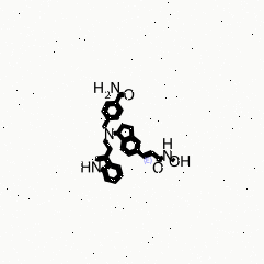 NC(=O)c1ccc(CN(CCc2c[nH]c3ccccc23)C2CCc3cc(/C=C/C(=O)NO)ccc32)cc1